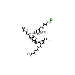 CCCCCCc1cc(C)sc1Bc1cc(CCCCCC)c(Cc2cc(CCCCCCBr)c(C)s2)s1